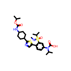 CN=S(=O)(c1cc(N(C(=O)O)C(C)C)ccc1-c1cnc(C2CCC(NC(=O)OC(C)C)CC2)s1)C(C)C